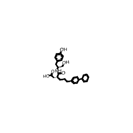 O=C(O)C[C@@H](CCCc1ccc(-c2ccccc2)cc1)C(=O)N[C@H](CO)Cc1ccc(O)cc1